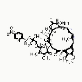 COc1cc2cc(c1Cl)N(C)C(=O)C[C@H](OC(=O)[C@H](C)N(C)C(=O)OCC(C)(C)SSc1ccc([N+](=O)[O-])cn1)[C@]1(C)O[C@H]1[C@H](C)[C@]1(C)C[C@@](O)(NC(=O)O1)[C@H](O)/C=C/C=C(\C)C2